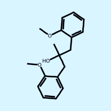 COc1ccccc1CC(C)(O)Cc1ccccc1OC